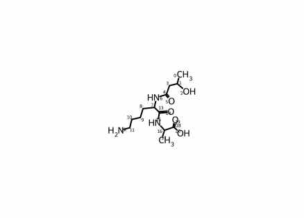 CC(O)CC(=O)NC(CCCCN)C(=O)NC(C)C(=O)O